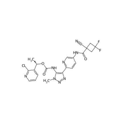 C[C@@H](OC(=O)Nc1c(-c2ccc(NC(=O)C3(C#N)CC(F)(F)C3)cn2)nnn1C)c1cccnc1Cl